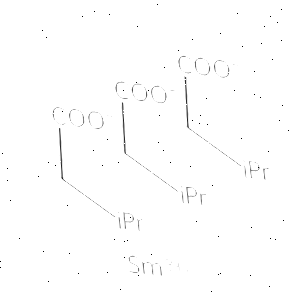 CC(C)CC(=O)[O-].CC(C)CC(=O)[O-].CC(C)CC(=O)[O-].[Sm+3]